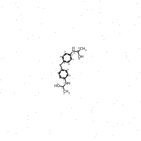 CC(O)Nc1ccc(Cc2ccc(NC(C)O)cc2)cc1